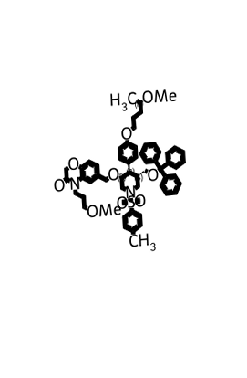 COCCCN1C(=O)COc2ccc(CO[C@H]3CN(S(=O)(=O)c4ccc(C)cc4)C[C@@H](COC(c4ccccc4)(c4ccccc4)c4ccccc4)[C@@H]3c3ccc(OCCC[C@@H](C)OC)cc3)cc21